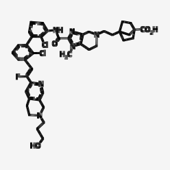 Cn1c(C(=O)Nc2cccc(-c3cccc(C=C(F)c4cc5c(cn4)CN(CCCO)CC5)c3Cl)c2Cl)nc2c1CCN(CCC13CCC(C(=O)O)(CC1)C3)C2